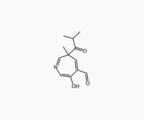 CC(C)C(=O)C1(C)C=NC=C(O)C(C=O)=C1